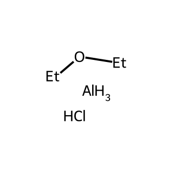 CCOCC.Cl.[AlH3]